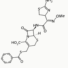 CO/N=C(/C(=O)N[C@@H]1C(=O)N2C(C(=O)O)=C(CSC(=O)c3ccccc3)CS[C@H]12)C1CSC(N)=N1